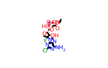 CCOC(=O)C(OC[C@H]1OC[C@](F)(n2cnc3c(N)nc(Cl)nc32)[C@@H]1O)P(=O)(O)O